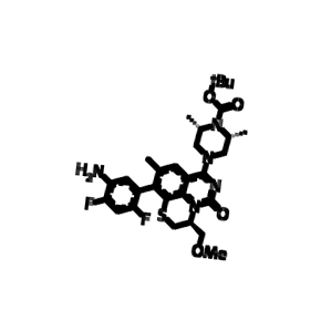 COC[C@H]1CSc2c(-c3cc(N)c(F)cc3F)c(C)cc3c(N4C[C@@H](C)N(C(=O)OC(C)(C)C)[C@@H](C)C4)nc(=O)n1c23